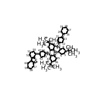 CC(C)(C)c1ccc2c(c1)N(c1ccc(-c3ccccc3)cc1)c1cc(C(C)(C)C)cc3c1B2c1ccc(C(C)(C)C)cc1N3c1ccc(-c2cccc3c2sc2ccccc23)cc1